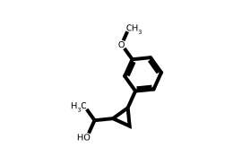 COc1cccc(C2CC2C(C)O)c1